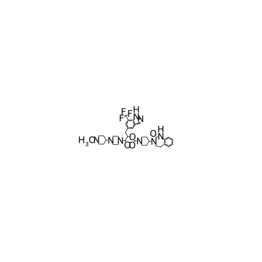 CN1CCC(N2CCN(C(=O)C(Cc3cc(C(F)(F)F)c4[nH]ncc4c3)OC(=O)N3CCC(N4CCc5ccccc5NC4=O)CC3)CC2)CC1